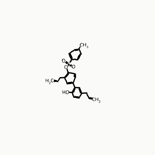 C=CCc1ccc(O)c(-c2ccc(OS(=O)(=O)c3ccc(C)cc3)c(CC=C)c2)c1